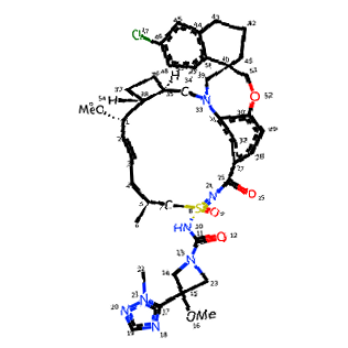 CO[C@H]1/C=C/C[C@H](C)C[S@@](=O)(NC(=O)N2CC(OC)(c3ncnn3C)C2)=NC(=O)c2ccc3c(c2)N(C[C@@H]2CC[C@H]21)C[C@@]1(CCCc2cc(Cl)ccc21)CO3